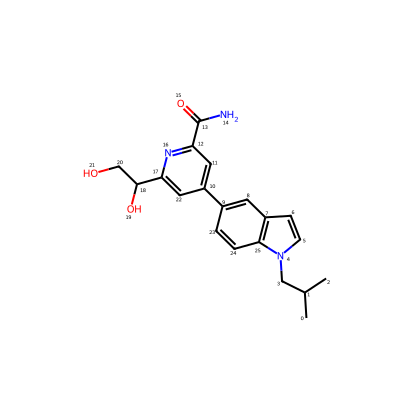 CC(C)Cn1ccc2cc(-c3cc(C(N)=O)nc(C(O)CO)c3)ccc21